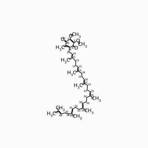 COC1=C(OC)C(=O)C(C/C=C(\C)CC/C=C(\C)CC/C=C(\C)CC/C=C(/C)CC/C=C(\C)CC/C=C(\C)CCC=C(C)C)=C(C)C1=O